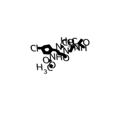 COC(=O)Nc1cc(Cl)ccc1-c1cc(=O)n(CC(=O)NC2(C)COC2)c(C)n1